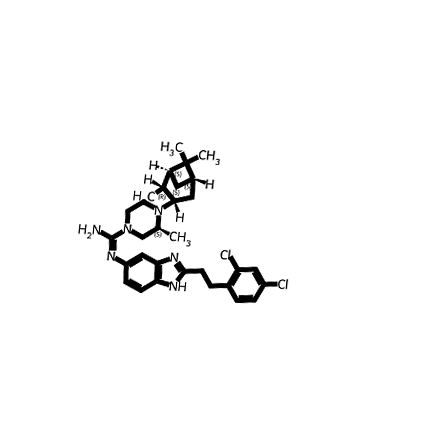 C[C@H]1[C@@H](N2CCN(C(N)=Nc3ccc4[nH]c(CCc5ccc(Cl)cc5Cl)nc4c3)C[C@@H]2C)C[C@@H]2C[C@@H]1C2(C)C